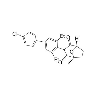 CCc1cc(-c2ccc(Cl)cc2)cc(CC)c1C1C(=O)[C@@H]2CC[C@@](C)(O2)C1=O